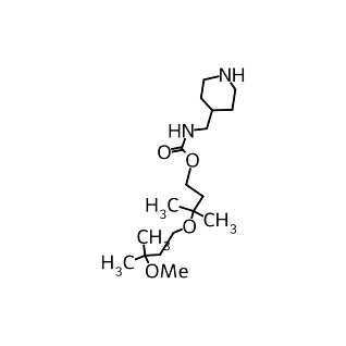 COC(C)(C)CCOC(C)(C)CCOC(=O)NCC1CCNCC1